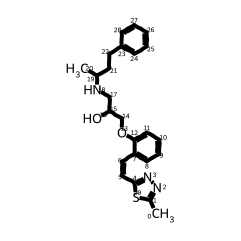 Cc1nnc(/C=C\c2ccccc2OCC(O)CNC(C)CCc2ccccc2)s1